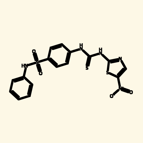 O=[N+]([O-])c1cnc(NC(=S)Nc2ccc(S(=O)(=O)Nc3ccccc3)cc2)s1